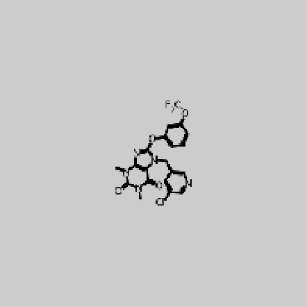 Cn1c(=O)c2c(nc(Oc3cccc(OC(F)(F)F)c3)n2Cc2cncc(Cl)c2)n(C)c1=O